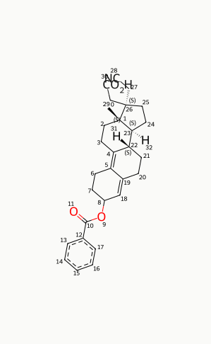 C[C@]12CCC3=C4CCC(OC(=O)c5ccccc5)C=C4CC[C@H]3[C@@H]1CC[C@]2(CC#N)CC(=O)O